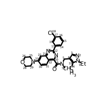 CCn1ncc(CN(C)C(=O)c2nc(-c3cccc(Cl)c3)nc3cc(N4CCOCC4)ccc23)c1C